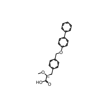 CO[C@@H](Cc1ccc(COc2ccc(-c3ccccc3)cc2)cc1)C(=O)O